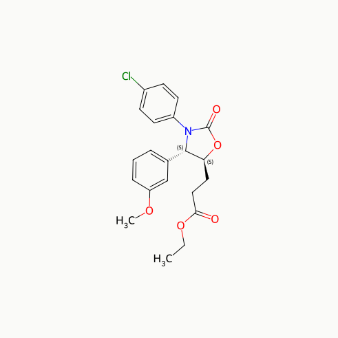 CCOC(=O)CC[C@@H]1OC(=O)N(c2ccc(Cl)cc2)[C@H]1c1cccc(OC)c1